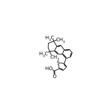 CC1(C)CCC(C)(C)c2cc3c(-c4ccc(C(=O)O)s4)cccc3cc21